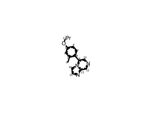 Cc1cc(OC(C)C)ccc1-c1cncc2nccn12